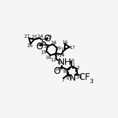 Cc1cc(C(F)(F)F)nc(C)c1C(=O)NCC1(CC2CC2)CCC(S(=O)(=O)CC2CC2)CC1